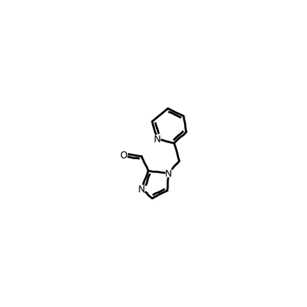 O=Cc1nccn1Cc1ccccn1